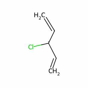 C=C[C](Cl)C=C